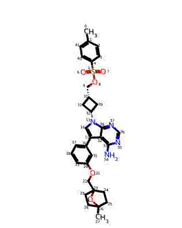 Cc1ccc(S(=O)(=O)OC[C@H]2C[C@@H](n3cc(-c4cccc(OCC56CCC(C)(CC5)O6)c4)c4c(N)ncnc43)C2)cc1